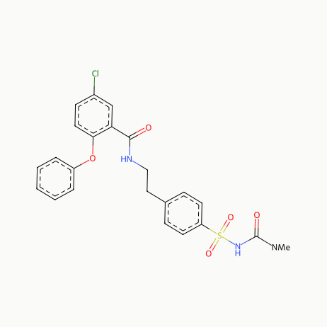 CNC(=O)NS(=O)(=O)c1ccc(CCNC(=O)c2cc(Cl)ccc2Oc2ccccc2)cc1